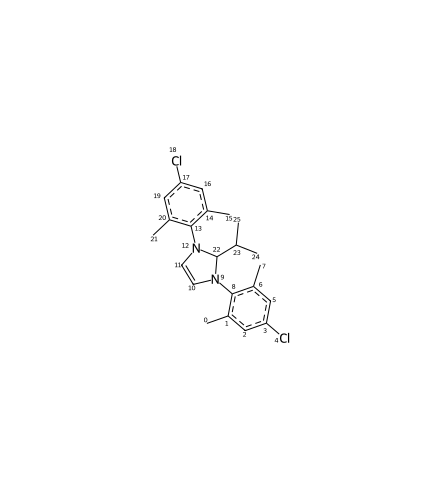 Cc1cc(Cl)cc(C)c1N1C=CN(c2c(C)cc(Cl)cc2C)C1C(C)C